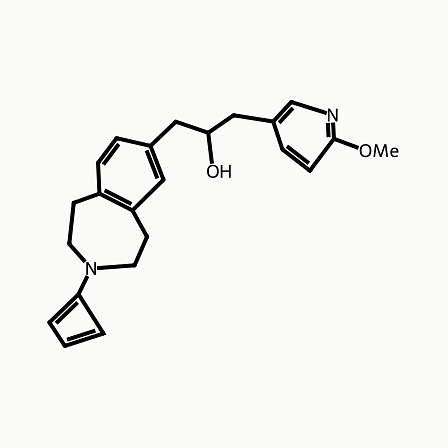 COc1ccc(CC(O)Cc2ccc3c(c2)CCN(C2=CC=C2)CC3)cn1